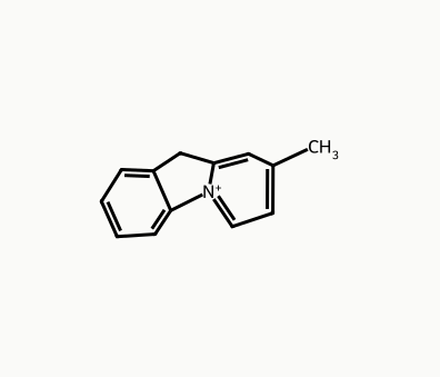 Cc1cc[n+]2c(c1)Cc1ccccc1-2